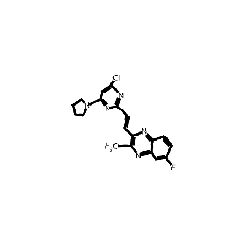 Cc1nc2cc(F)ccc2nc1/C=C/c1nc(Cl)cc(N2CCCC2)n1